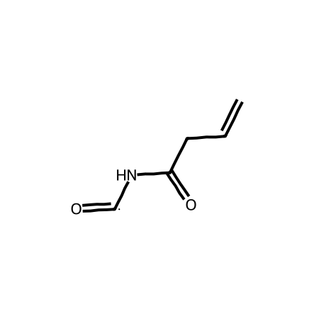 C=CCC(=O)N[C]=O